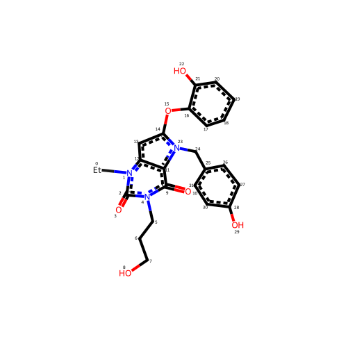 CCn1c(=O)n(CCCO)c(=O)c2c1cc(Oc1ccccc1O)n2Cc1ccc(O)cc1